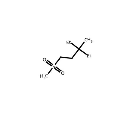 CCC(C)(CC)CCS(C)(=O)=O